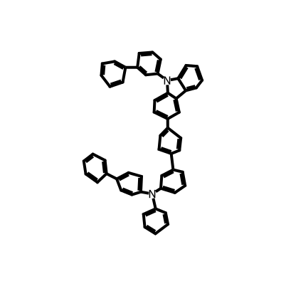 c1ccc(-c2ccc(N(c3ccccc3)c3cccc(-c4ccc(-c5ccc6c(c5)c5ccccc5n6-c5cccc(-c6ccccc6)c5)cc4)c3)cc2)cc1